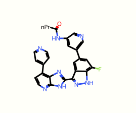 CCCC(=O)Nc1cncc(-c2cc(F)c3[nH]nc(-c4nc5c(-c6ccncc6)ccnc5[nH]4)c3c2)c1